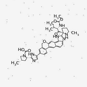 COC(=O)N[C@H](C(=O)[C@@]1(c2nc3ccc4cc5c(cc4c3[nH]2)OCc2cc(-c3cnc([C@@H]4C[C@H](C)CN4C(=O)O)[nH]3)ccc2-5)CC[C@H](C)N1)C(C)C